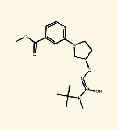 COC(=O)c1cccc(N2CC[C@@H](O/N=[N+](\O)N(C)C(C)(C)C)C2)c1